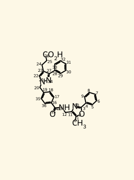 Cc1oc(-c2ccccc2)nc1CNC(=O)c1ccc(Cn2cc(CCC(=O)O)c(-c3ccccc3)n2)cc1